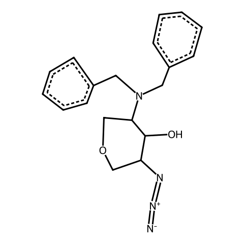 [N-]=[N+]=NC1COCC(N(Cc2ccccc2)Cc2ccccc2)C1O